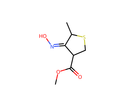 COC(=O)C1CSC(C)C1=NO